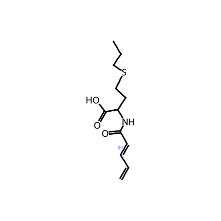 C=C/C=C/C(=O)NC(CCSCCC)C(=O)O